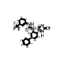 O=C(Nc1cccc(C(F)(F)F)c1)Nc1cc(-c2ccccc2)ccc1-n1cnc(=O)[nH]1